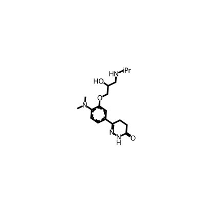 CC(C)NCC(O)COc1cc(C2=NNC(=O)CC2)ccc1N(C)C